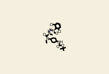 CCN(C(=O)N(C)/N=N\N(C=O)c1c(Cl)cccc1Cl)C1CCC(NC(=O)OC(C)(C)C)CC1